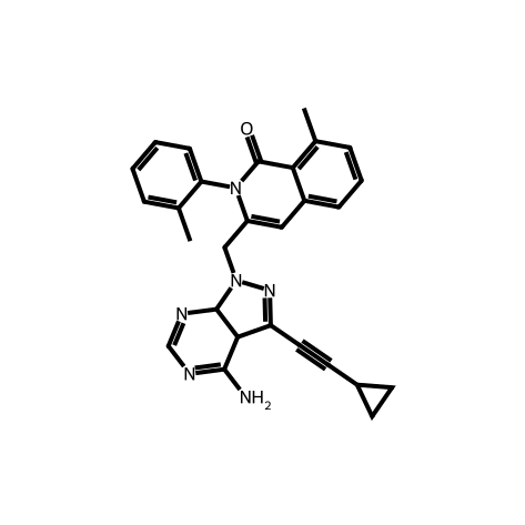 Cc1ccccc1-n1c(CN2N=C(C#CC3CC3)C3C(N)=NC=NC32)cc2cccc(C)c2c1=O